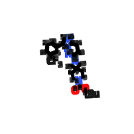 CC(C)(C)OC(=O)N1CCC2(CC1)CN(c1ccc3ncc(-c4cccc(C(F)(F)F)c4)n3n1)C2